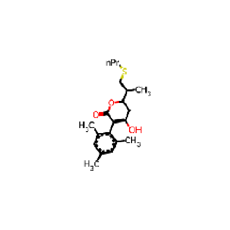 CCCSCC(C)C1CC(O)=C(c2c(C)cc(C)cc2C)C(=O)O1